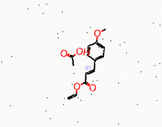 C=COC(=O)/C=C/c1ccc(OC)cc1.CC(=O)O